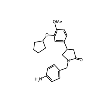 COc1ccc(C2CC(=O)N(Cc3ccc(N)cc3)C2)cc1OC1CCCC1